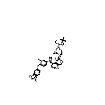 Cc1cc(Nc2ncnc3cnc(N4CCN(C(=O)OC(C)(C)C)C[C@@H]4C)nc23)ccc1Cc1ccc2c(c1)ncn2C